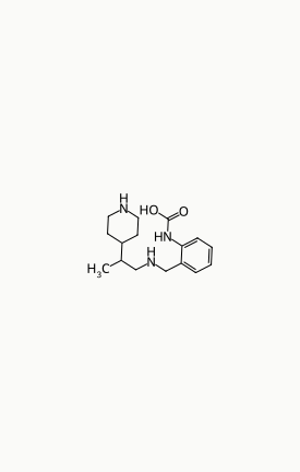 CC(CNCc1ccccc1NC(=O)O)C1CCNCC1